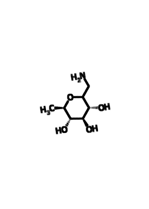 C[C@H]1OC(CN)[C@H](O)[C@@H](O)[C@@H]1O